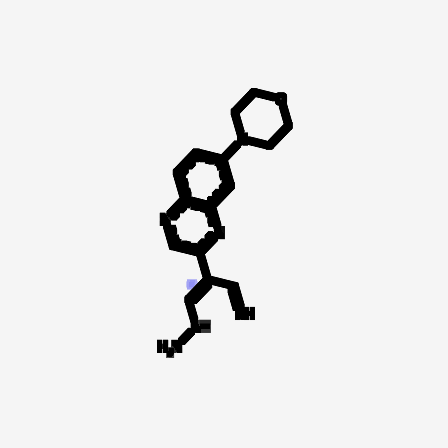 N=C/C(=C\NN)c1cnc2ccc(N3CCOCC3)cc2n1